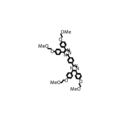 COCCOc1ccc(-c2nnc(-c3ccc(-c4nnc(-c5ccc(OCCOC)cc5)c(-c5ccc(OCCOC)cc5)n4)cc3)nc2-c2ccc(OCCOC)cc2)cc1